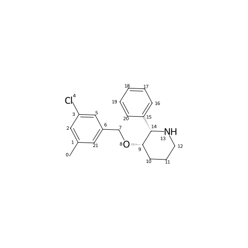 Cc1cc(Cl)cc(CO[C@H]2CCCN[C@H]2c2ccccc2)c1